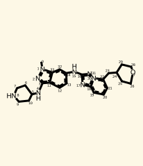 Cn1nc(NC2CCNCC2)c2ccc(Nc3nc4cccc(CC5CCOCC5)n4n3)cc21